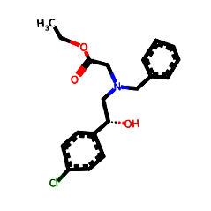 CCOC(=O)CN(Cc1ccccc1)C[C@H](O)c1ccc(Cl)cc1